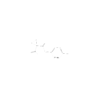 O=C(Cl)C1(C(=O)Nc2ccc(F)cc2)CC1